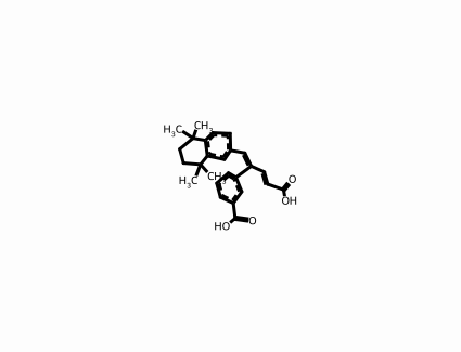 CC1(C)CCC(C)(C)c2cc(C=C(C=CC(=O)O)c3cccc(C(=O)O)c3)ccc21